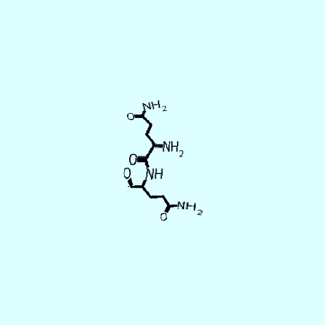 NC(=O)CCC([C]=O)NC(=O)C(N)CCC(N)=O